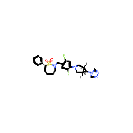 O=S1(=O)[C@@H](c2ccccc2)CCCCN1Cc1cc(F)c(N2C[C@@H]3C(n4cnnc4)[C@@H]3C2)cc1F